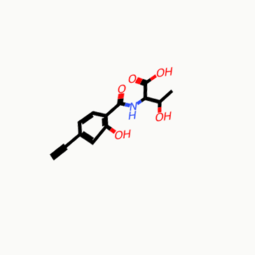 C#Cc1ccc(C(=O)NC(C(=O)O)C(C)O)c(O)c1